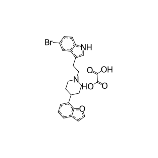 Brc1ccc2[nH]cc(CCN3CCC(c4cccc5ccoc45)CC3)c2c1.O=C(O)C(=O)O